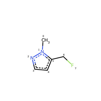 Cn1nccc1CF